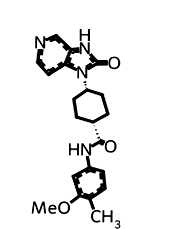 COc1cc(NC(=O)[C@H]2CC[C@@H](n3c(=O)[nH]c4cnccc43)CC2)ccc1C